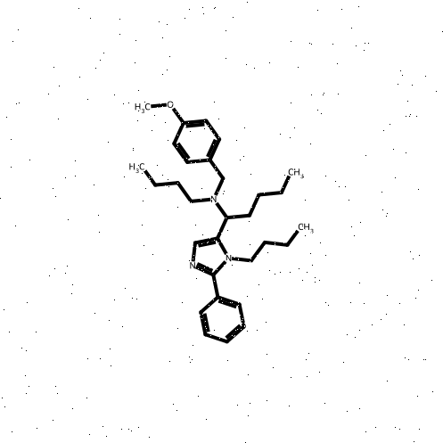 CCCCC(c1cnc(-c2ccccc2)n1CCCC)N(CCCC)Cc1ccc(OC)cc1